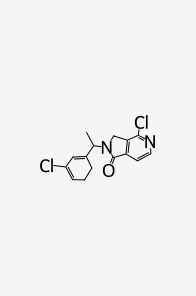 CC(C1=CC(Cl)=CCC1)N1Cc2c(ccnc2Cl)C1=O